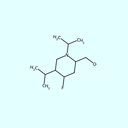 CC(C)C1CN(C(C)C)C(C[O])CC1F